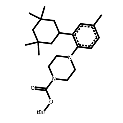 Cc1ccc(N2CCN(C(=O)OC(C)(C)C)CC2)c(C2CC(C)(C)CC(C)(C)C2)c1